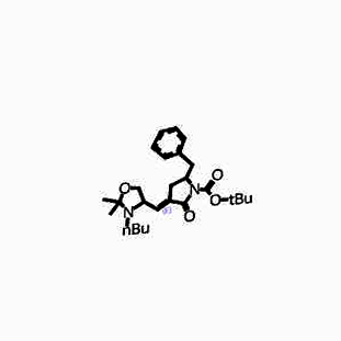 CCCCN1C(/C=C2\CC(Cc3ccccc3)N(C(=O)OC(C)(C)C)C2=O)COC1(C)C